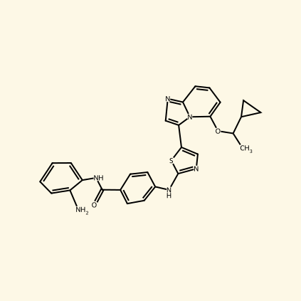 CC(Oc1cccc2ncc(-c3cnc(Nc4ccc(C(=O)Nc5ccccc5N)cc4)s3)n12)C1CC1